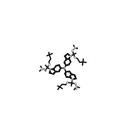 C[SiH](C)OC(C)(OCCC(C)(C)C)n1ccc2c[c]([Bi]([c]3ccc4c(ccn4C(C)(OCCC(C)(C)C)O[SiH](C)C)c3)[c]3ccc4c(ccn4C(C)(OCCC(C)(C)C)O[SiH](C)C)c3)ccc21